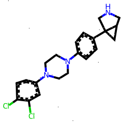 Clc1ccc(N2CCN(c3ccc(C45CNCC4C5)cc3)CC2)cc1Cl